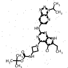 CCc1[nH]c2nc(Nc3cnc4c(c3)nnn4C(C)C)nc(N3CC(NC(=O)OC(C)(C)C)C3)c2c1Cl